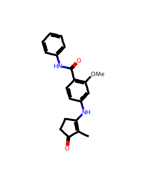 COc1cc(NC2=C(C)C(=O)CC2)ccc1C(=O)Nc1ccccc1